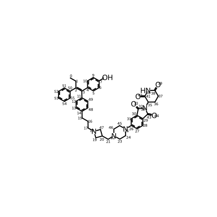 CCC(=C(c1ccc(O)cc1)c1ccc(CCCN2CC(CN3CCN(c4ccc5c(c4)C(=O)N(C4CCC(=O)NC4=O)C5=O)CC3)C2)cc1)c1ccccc1